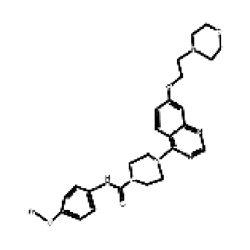 CC(C)Oc1ccc(NC(=O)N2CCN(c3ncnc4cc(OCCN5CCOCC5)ccc34)CC2)cc1